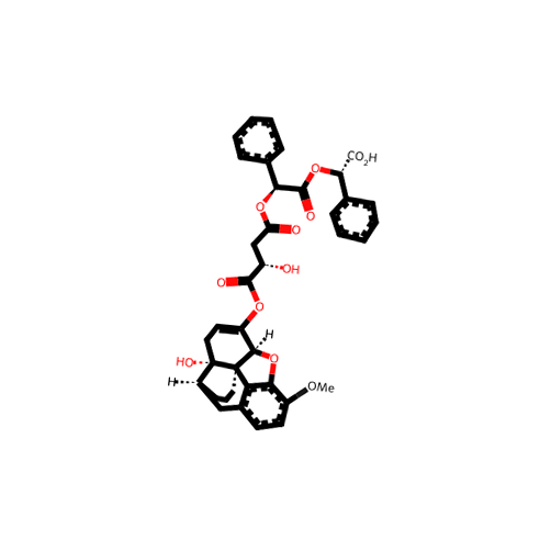 COc1ccc2c3c1O[C@@H]1C(OC(=O)[C@@H](O)CC(=O)O[C@H](C(=O)O[C@H](C(=O)O)c4ccccc4)c4ccccc4)=CC[C@]4(O)[C@@H](CCC[C@@]314)C2